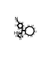 N#Cc1ccc(C(=C2CCCCCCCCC2)c2ncc[nH]2)cc1